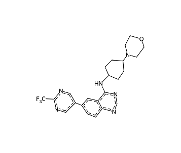 FC(F)(F)c1ncc(-c2ccc3ncnc(NC4CCC(N5CCOCC5)CC4)c3c2)cn1